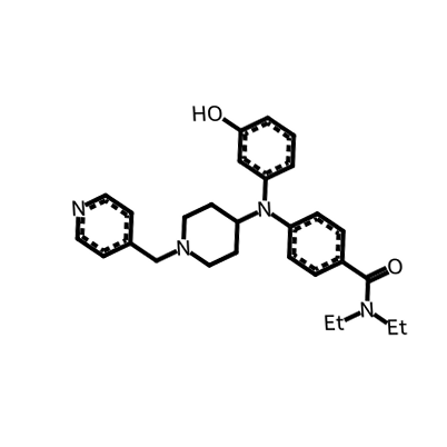 CCN(CC)C(=O)c1ccc(N(c2cccc(O)c2)C2CCN(Cc3ccncc3)CC2)cc1